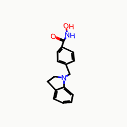 O=C(NO)c1ccc(CN2CCc3ccccc32)cc1